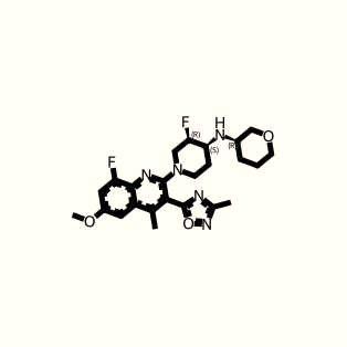 COc1cc(F)c2nc(N3CC[C@H](N[C@@H]4CCCOC4)[C@H](F)C3)c(-c3nc(C)no3)c(C)c2c1